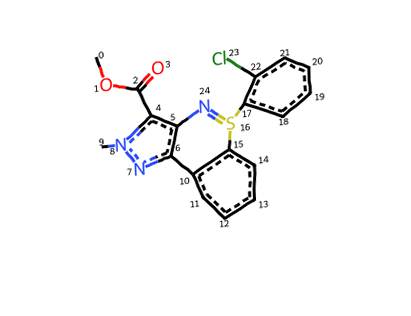 COC(=O)c1c2c(nn1C)-c1ccccc1S(c1ccccc1Cl)=N2